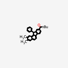 CCCCC(=O)c1ccc2c(c1)C(c1ccccc1)c1c-2ccc2cc(C)c(C)cc12